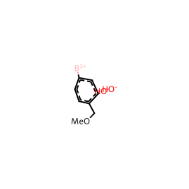 [B+2]c1ccc(COC)cc1.[OH-].[OH-]